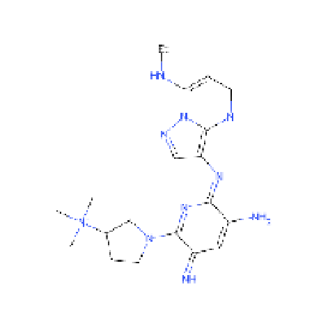 CCNc1ccnc2c(/N=C3\N=C(N4CCC([N+](C)(C)C)C4)C(=N)C=C3N)cnn12